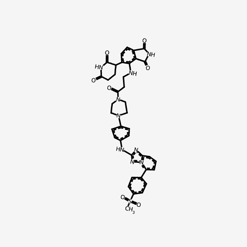 CS(=O)(=O)c1ccc(-c2cccc3nc(Nc4ccc(N5CCN(C(=O)CCNc6c(C7CCC(=O)NC7=O)ccc7c6C(=O)NC7=O)CC5)cc4)nn23)cc1